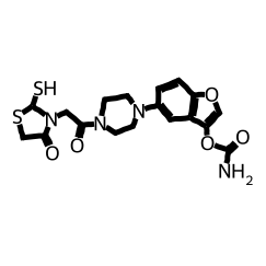 NC(=O)Oc1coc2ccc(N3CCN(C(=O)CN4C(=O)CSC4S)CC3)cc12